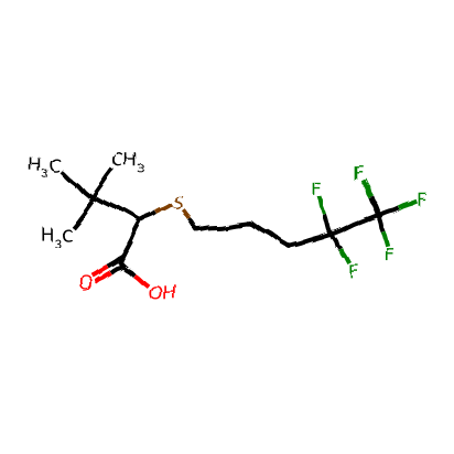 CC(C)(C)C(SCCCC(F)(F)C(F)(F)F)C(=O)O